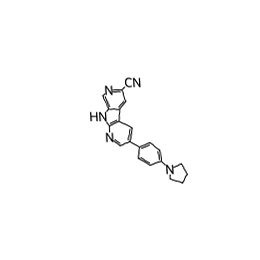 N#Cc1cc2c(cn1)[nH]c1ncc(-c3ccc(N4CCCC4)cc3)cc12